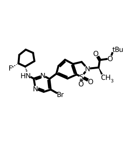 C[C@H](C(=O)OC(C)(C)C)N1Cc2ccc(-c3nc(N[C@H]4CCCC[C@H]4F)ncc3Br)cc2S1(=O)=O